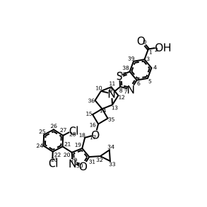 O=C(O)c1ccc2nc(N3C4CCC3C3(CC(OCc5c(-c6c(Cl)cccc6Cl)noc5C5CC5)C3)C4)sc2c1